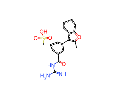 CS(=O)(=O)O.Cc1oc2ccccc2c1-c1cccc(C(=O)NC(=N)N)c1